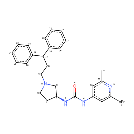 CCCc1cc(NC(=O)N[C@H]2CCN(CCC(c3ccccc3)c3ccccc3)C2)cc(C)n1